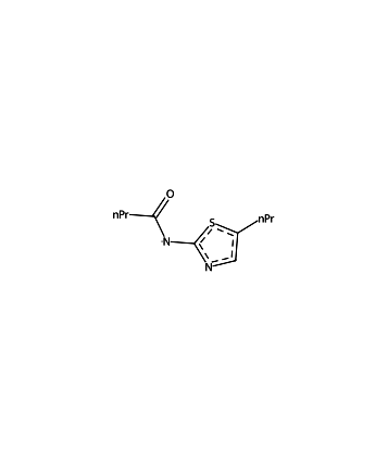 CCCC(=O)[N]c1ncc(CCC)s1